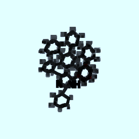 C1=CCC(C2=NC(c3ccccc3-c3cc(-c4ccccc4)c(-c4ccccc4)c(-c4ccccc4)c3-c3ccccc3)=CC(c3ccccc3)N2)C=C1